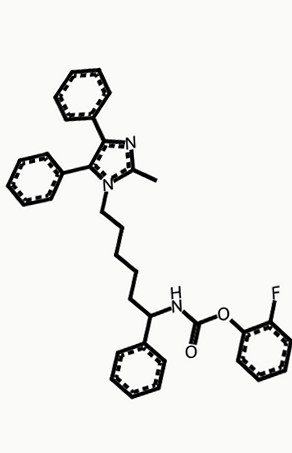 Cc1nc(-c2ccccc2)c(-c2ccccc2)n1CCCCCC(NC(=O)Oc1ccccc1F)c1ccccc1